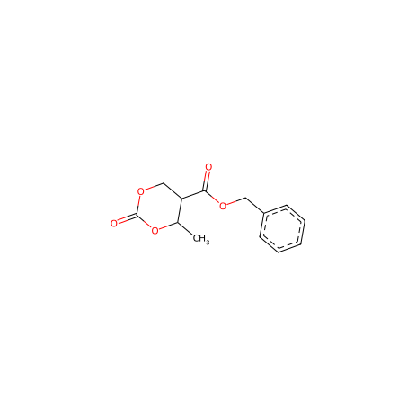 CC1OC(=O)OCC1C(=O)OCc1ccccc1